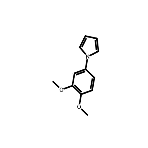 COc1[c]c(-n2cccc2)ccc1OC